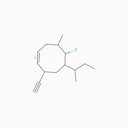 C#CC1/C=C\CC(C)C(F)C(C(C)CC)C1